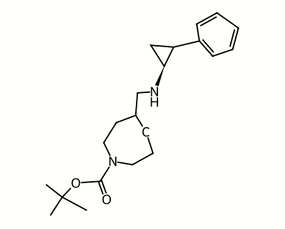 CC(C)(C)OC(=O)N1CCCC(CN[C@H]2CC2c2ccccc2)CC1